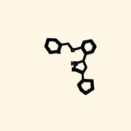 c1ccc(C2=NNC(c3ccccc3OCc3ccccn3)C2)cc1